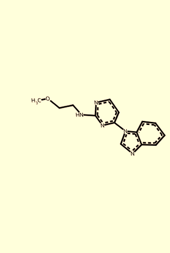 COCCNc1nccc(-n2cnc3ccccc32)n1